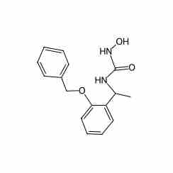 CC(NC(=O)NO)c1ccccc1OCc1ccccc1